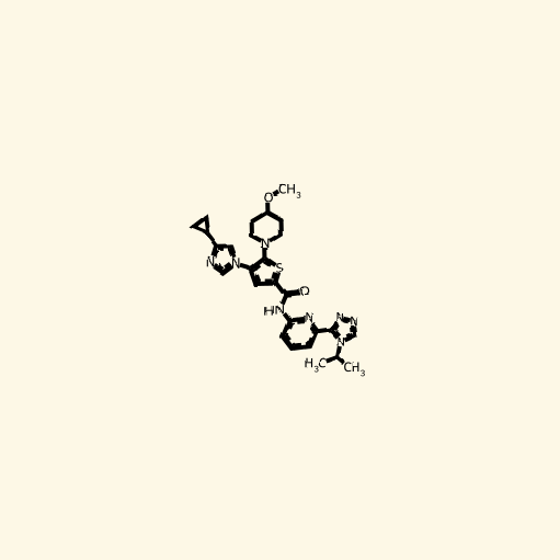 COC1CCN(c2sc(C(=O)Nc3cccc(-c4nncn4C(C)C)n3)cc2-n2cnc(C3CC3)c2)CC1